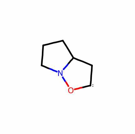 [C]1CC2CCCN2O1